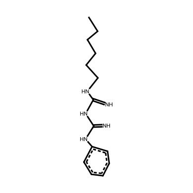 CCCCCCNC(=N)NC(=N)Nc1ccccc1